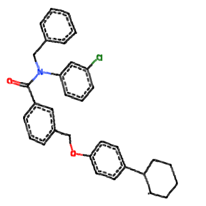 O=C(c1cccc(COc2ccc(C3[CH]CCCC3)cc2)c1)N(Cc1ccccc1)c1cccc(Cl)c1